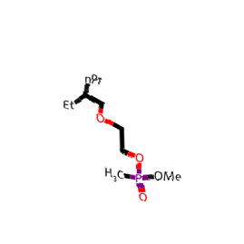 CCCC(CC)COCCOP(C)(=O)OC